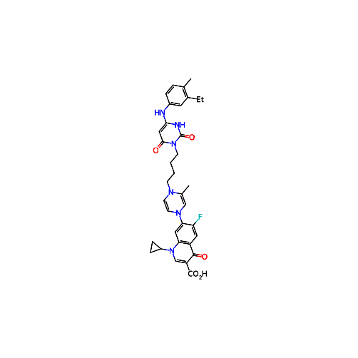 CCc1cc(Nc2cc(=O)n(CCCCN3C=CN(c4cc5c(cc4F)c(=O)c(C(=O)O)cn5C4CC4)C=C3C)c(=O)[nH]2)ccc1C